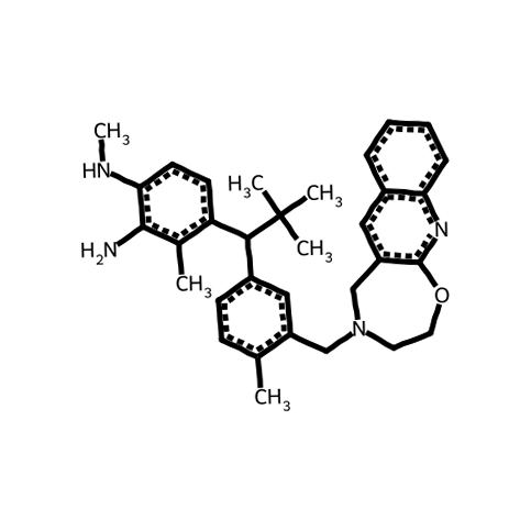 CNc1ccc(C(c2ccc(C)c(CN3CCOc4nc5ccccc5cc4C3)c2)C(C)(C)C)c(C)c1N